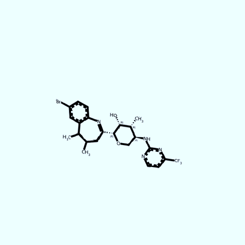 CC1CC([C@H]2OC[C@H](Nc3nccc(C(F)(F)F)n3)[C@@H](C)[C@H]2O)=Nc2ccc(Br)cc2C1C